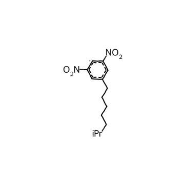 CC(C)CCCCCc1cc([N+](=O)[O-])[c]c([N+](=O)[O-])c1